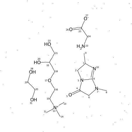 CC1CN2C(=O)CN(C)C2=N1.C[N+](C)(C)CCOCC(O)CO.NCC(=O)[O-].OCCO